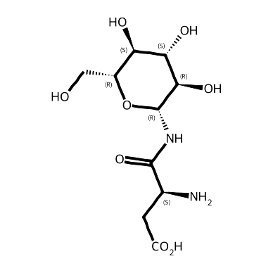 N[C@@H](CC(=O)O)C(=O)N[C@@H]1O[C@H](CO)[C@@H](O)[C@H](O)[C@H]1O